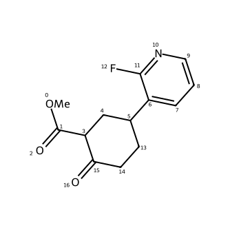 COC(=O)C1CC(c2cccnc2F)CCC1=O